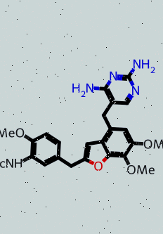 COc1ccc(Cc2cc3c(Cc4cnc(N)nc4N)cc(OC)c(OC)c3o2)cc1NC(C)=O